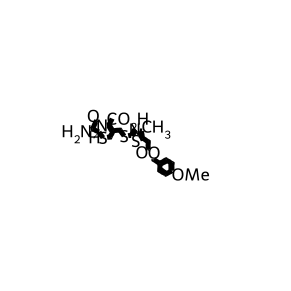 COc1ccc(COC(=O)Cc2sc(SCC3=C(C(=O)O)N4C(=O)C(N)[C@@H]4SC3)nc2C)cc1